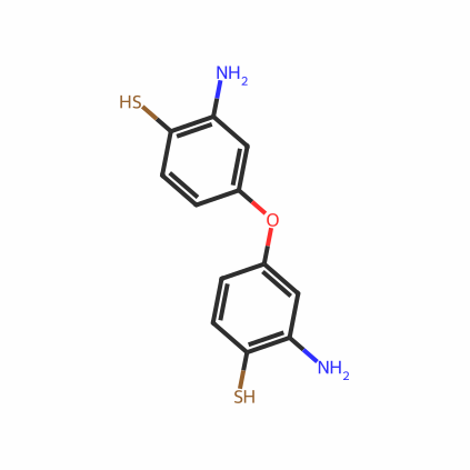 Nc1cc(Oc2ccc(S)c(N)c2)ccc1S